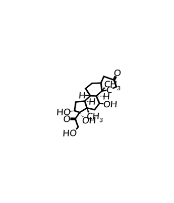 C[C@]12CCC(=O)CC1CC[C@@H]1[C@@H]2[C@@H](O)C[C@@]2(C)[C@H]1C[C@@H](O)[C@]2(O)C(=O)CO